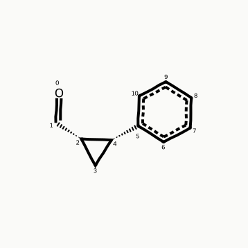 O=C[C@H]1C[C@H]1c1ccccc1